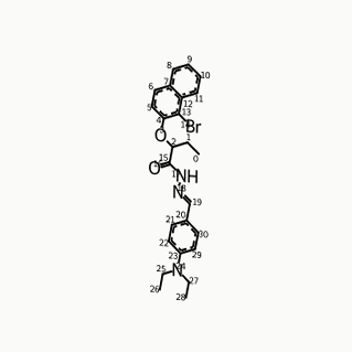 CCC(Oc1ccc2ccccc2c1Br)C(=O)NN=Cc1ccc(N(CC)CC)cc1